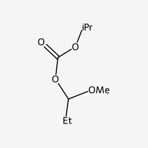 CCC(OC)OC(=O)OC(C)C